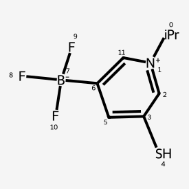 CC(C)[n+]1cc(S)cc([B-](F)(F)F)c1